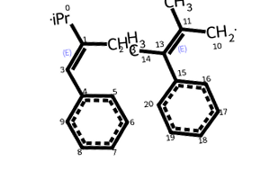 C[C](C)/C(C)=C/c1ccccc1.[CH2]/C(C)=C(/C)c1ccccc1